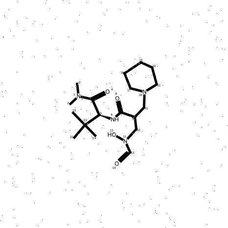 CN(C)C(=O)[C@@H](NC(=O)C(CN(O)C=O)CN1CCCCC1)C(C)(C)C